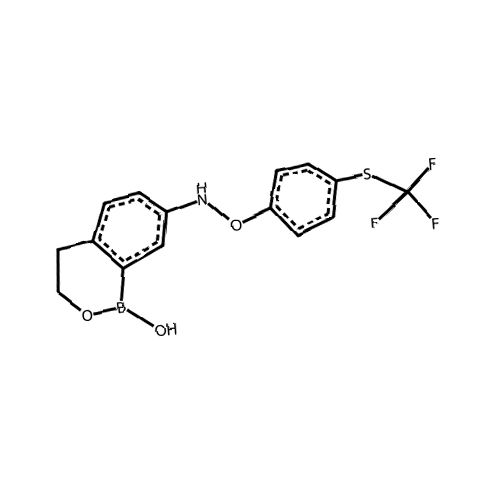 OB1OCCc2ccc(NOc3ccc(SC(F)(F)F)cc3)cc21